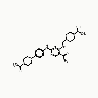 CC(=O)N1CCN(c2ccc(Nc3ncc(C(N)=O)c(NCC4CCN(C(C)O)CC4)n3)cc2)CC1